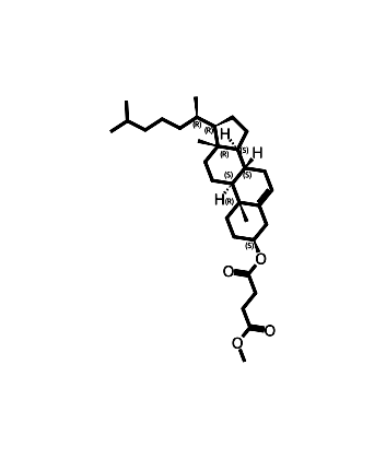 COC(=O)CCC(=O)O[C@H]1CC[C@@]2(C)C(=CC[C@H]3[C@@H]4CC[C@H]([C@H](C)CCCC(C)C)[C@@]4(C)CC[C@@H]32)C1